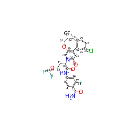 NC(=O)c1ccc(NC(=O)C(CCOC(F)F)n2cc3c(cc2=O)-c2cc(Cl)ccc2C[C@@H](C(F)(F)F)CO3)cc1F